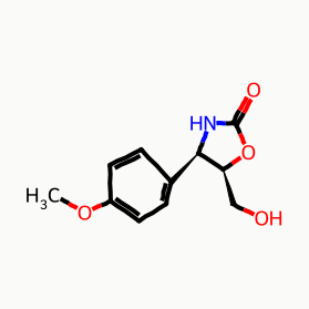 COc1ccc([C@H]2NC(=O)O[C@H]2CO)cc1